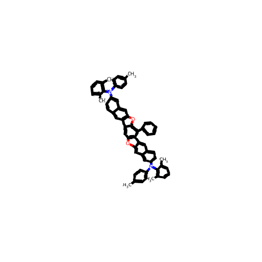 Cc1ccc(N(c2ccc3cc4c(cc3c2)oc2c(-c3ccccc3)c3c(cc24)oc2cc4cc(N(c5ccc(C)cc5)c5c(C)cccc5C)ccc4cc23)c2c(C)cccc2C)cc1